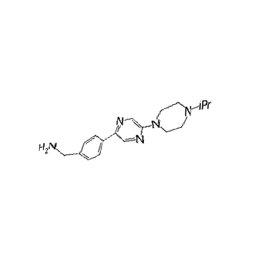 CC(C)N1CCN(c2cnc(-c3ccc(CN)cc3)cn2)CC1